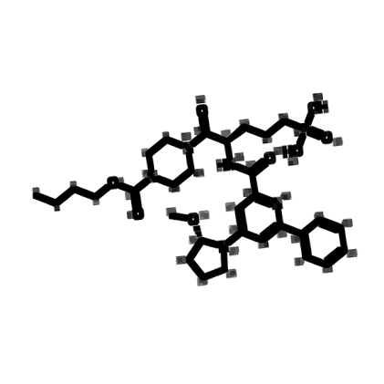 CCCCOC(=O)N1CCN(C(=O)[C@@H](CCCP(=O)(O)O)NC(=O)c2cc(N3CCC[C@@H]3OC)cc(-c3ccccc3)n2)CC1